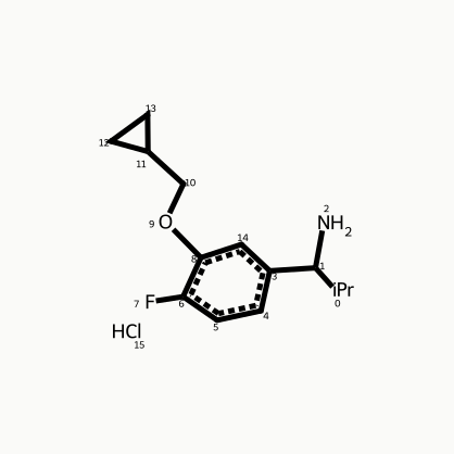 CC(C)C(N)c1ccc(F)c(OCC2CC2)c1.Cl